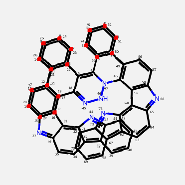 c1ccc(C2=C(c3ccccc3-c3ccccc3)C(c3c(-c4ccccc4)ccc4c3-c3c5c(ccc3=N4)=c3ccccc3=N5)=NNN2c2c(-c3ccccc3)ccc3c2-c2c4c(ccc2=N3)=c2ccccc2=N4)cc1